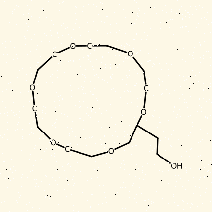 OCCC1COCCOCCOCCOCCOCCO1